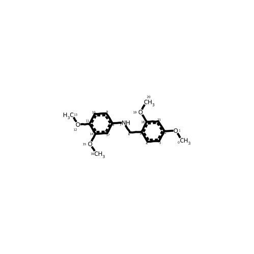 COc1ccc(CNc2ccc(OC)c(OC)c2)c(OC)c1